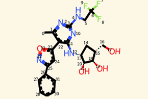 Cc1nc(NCC(F)(F)F)nc(N[C@@H]2C[C@H](CO)[C@@H](O)[C@H]2O)c1-c1cc(-c2ccccc2)no1